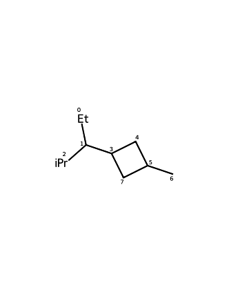 CCC(C(C)C)C1CC(C)C1